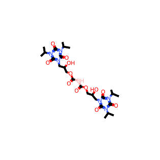 CC(C)n1c(=O)n(CC(O)COC(=O)BC(=O)OCC(O)Cn2c(=O)n(C(C)C)c(=O)n(C(C)C)c2=O)c(=O)n(C(C)C)c1=O